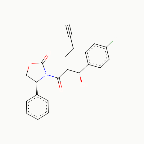 C#CCC[C@@H](C(=O)N1C(=O)OC[C@@H]1c1ccccc1)[C@H](O)c1ccc(Cl)cc1